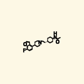 CC(=O)N[C@H]1CC[C@H](CCN2CCC(c3ccc(F)c4occc34)CC2)CC1